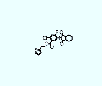 O=C(OCCc1cccs1)c1cc(N2C(=O)C3=C(CCCC3)C2=O)c(F)cc1Cl